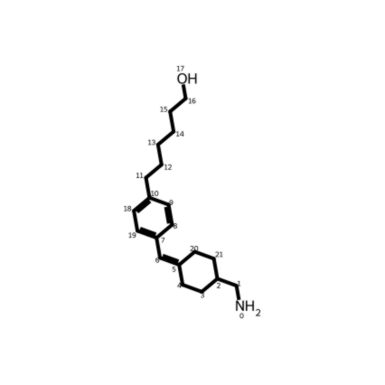 NCC1CCC(=Cc2ccc(CCCCCCO)cc2)CC1